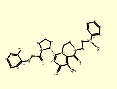 O=C1c2c(O)c(=O)nc([C@H]3CCCN3C(=O)CSc3ccccc3Cl)n2CCN1CC[S+]([O-])c1ccccc1